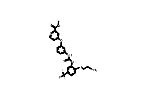 CNC(=O)c1cc(Oc2cccc(NC(=O)Nc3cc(C(F)(F)F)ccc3OCCN)c2)ccn1